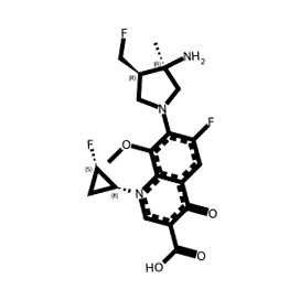 COc1c(N2C[C@@H](CF)[C@@](C)(N)C2)c(F)cc2c(=O)c(C(=O)O)cn([C@@H]3C[C@@H]3F)c12